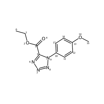 CCOC(=O)c1nnnn1-c1ccc(OC)cc1